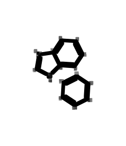 c1ccc2ocnc2c1.c1ccccc1